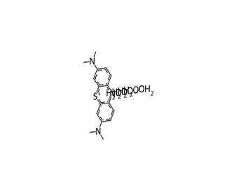 CN(C)c1ccc2nc3ccc(N(C)C)cc3[s+]c2c1.O.O.O.O.O